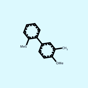 COc1ccc(-c2ccccc2SC)cc1C